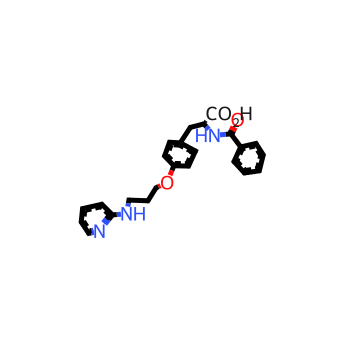 O=C(N[C@@H](Cc1ccc(OCCCNc2ccccn2)cc1)C(=O)O)c1ccccc1